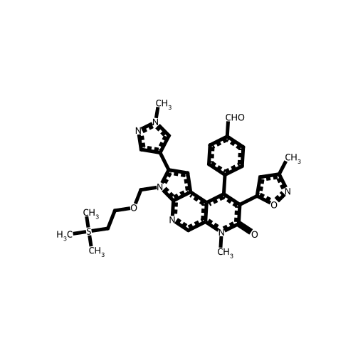 Cc1cc(-c2c(-c3ccc(C=O)cc3)c3c4cc(-c5cnn(C)c5)n(COCCS(C)(C)C)c4ncc3n(C)c2=O)on1